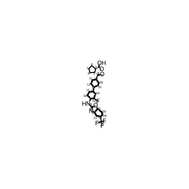 O=C(O)[C@@H]1CCC[C@H]1C(=O)c1ccc(-c2ccc(Nc3nc4cc(C(F)(F)F)ccc4o3)c(F)c2)cc1